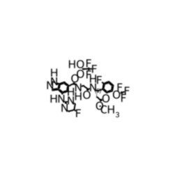 COC(=O)C[C@H](NC(=O)CNC(=O)c1cc(NC2=NCC(F)CN2)c2cn[nH]c2c1)c1cc(OC(F)(F)F)ccc1F.O=C(O)C(F)(F)F